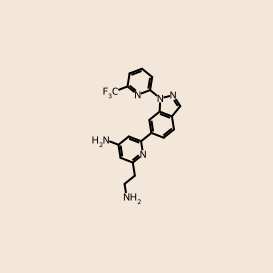 NCCc1cc(N)cc(-c2ccc3cnn(-c4cccc(C(F)(F)F)n4)c3c2)n1